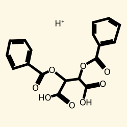 O=C(OC(C(=O)O)C(OC(=O)c1ccccc1)C(=O)O)c1ccccc1.[H+]